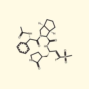 CC(=O)N[C@H](C(=O)N1C[C@H]2CCC[C@H]2[C@H]1C(=O)N[C@H](/C=C(\F)S(C)(=O)=O)C[C@@H]1CCNC1=O)c1ccccc1